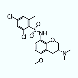 COc1ccc(NS(=O)(=O)c2c(C)cc(Cl)cc2Cl)c2c1C[C@@H](N(C)C)CO2